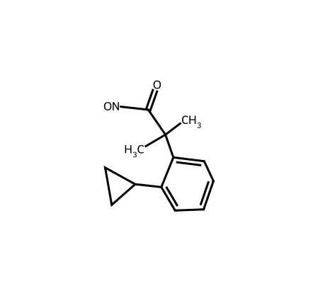 CC(C)(C(=O)N=O)c1ccccc1C1CC1